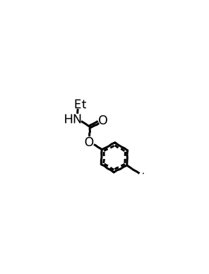 [CH2]c1ccc(OC(=O)NCC)cc1